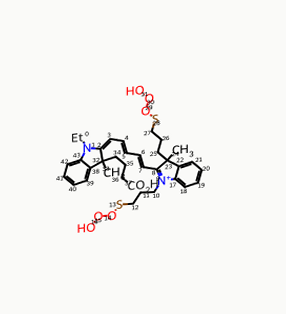 CCN1/C(=C/C=C/C=C/C2=[N+](CCCSOOO)c3ccccc3C2(C)CCCSOOO)C(C)(CCCC(=O)O)c2ccccc21